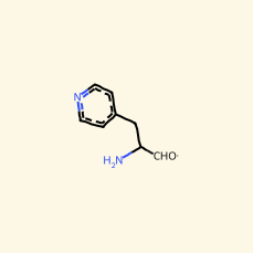 NC([C]=O)Cc1ccncc1